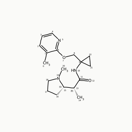 Cc1cccnc1OCC1(NC(=O)[C@H](C)[C@@H]2CCCN2C)CC1